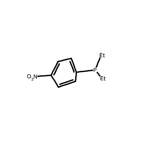 CCP(CC)c1ccc([N+](=O)[O-])cc1